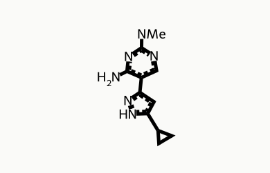 CNc1ncc(-c2cc(C3CC3)[nH]n2)c(N)n1